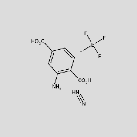 F[B-](F)(F)F.N#[NH+].Nc1cc(C(=O)O)ccc1C(=O)O